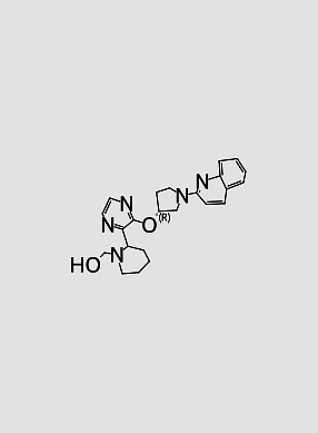 OCN1CCCCC1c1nccnc1O[C@@H]1CCN(c2ccc3ccccc3n2)C1